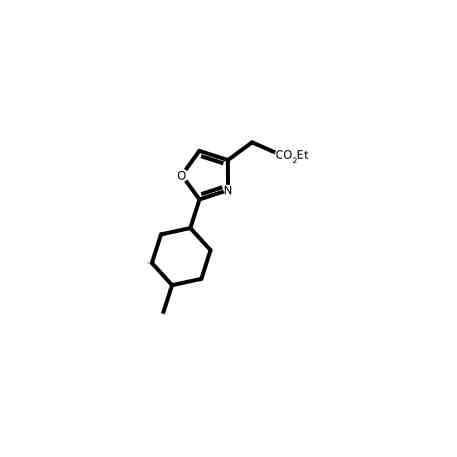 CCOC(=O)Cc1coc(C2C[CH]C(C)CC2)n1